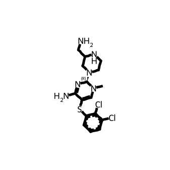 CN1C=C(Sc2cccc(Cl)c2Cl)C(N)=N[C@@H]1N1CCNC(CN)C1